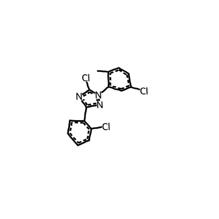 Cc1ccc(Cl)cc1-n1nc(-c2ccccc2Cl)nc1Cl